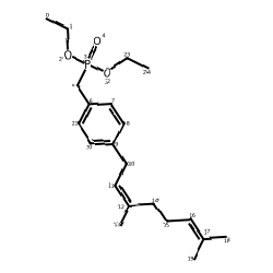 CCOP(=O)(Cc1ccc(CC=C(C)CCC=C(C)C)cc1)OCC